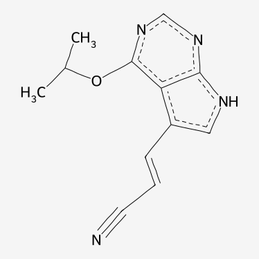 CC(C)Oc1ncnc2[nH]cc(C=CC#N)c12